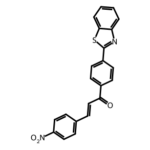 O=C(C=Cc1ccc([N+](=O)[O-])cc1)c1ccc(-c2nc3ccccc3s2)cc1